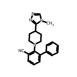 Cn1cnnc1C1CCN(c2c(C#N)cccc2-c2ccccc2)CC1